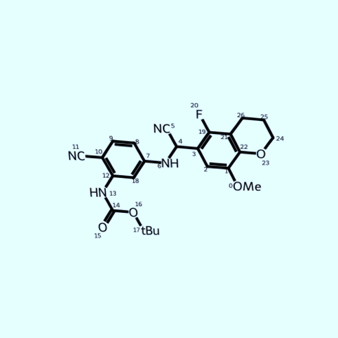 COc1cc(C(C#N)Nc2ccc(C#N)c(NC(=O)OC(C)(C)C)c2)c(F)c2c1OCCC2